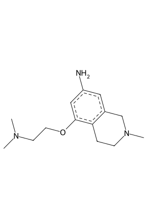 CN(C)CCOc1cc(N)cc2c1CCN(C)C2